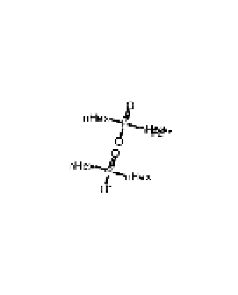 CCCCCCP(=O)([O-])CCCCCC.CCCCCCP(=O)([O-])CCCCCC.[Fe+2]